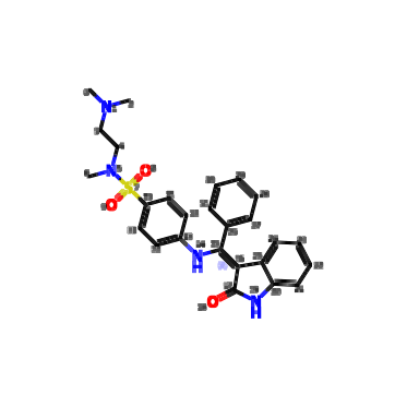 CN(C)CCN(C)S(=O)(=O)c1ccc(N/C(=C2\C(=O)Nc3ccccc32)c2ccccc2)cc1